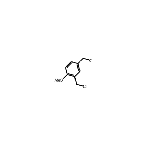 COc1ccc(CCl)cc1CCl